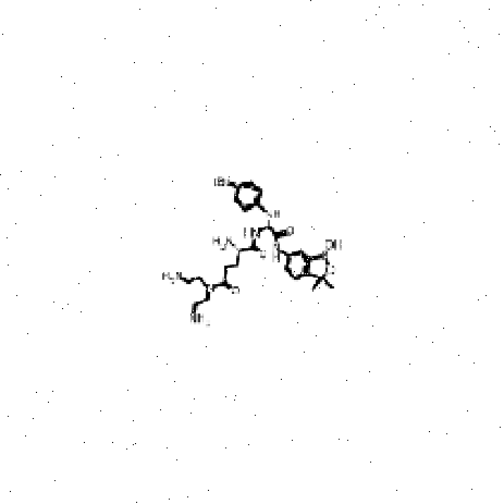 CC(C)(C)c1ccc(N[C@@H](NC(=O)[C@@H](N)CCC(=O)N(CCN)CCN)C(=O)Nc2ccc3c(c2)B(O)OC3(C)C)cc1